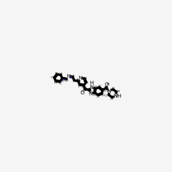 O=C(c1ccnc(C/C=N\C=C2\C=CC=CC2)c1)c1nc2ccc(C(=O)N3CCNCC3)cc2[nH]1